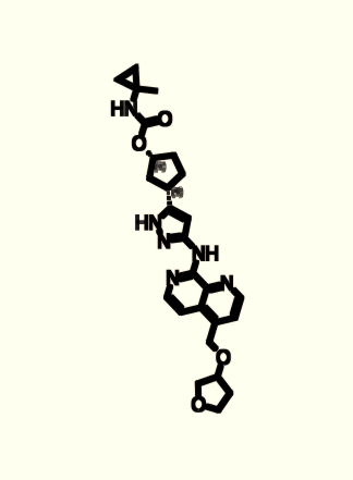 CC1(NC(=O)O[C@@H]2CC[C@H](c3cc(Nc4nccc5c(COC6CCOC6)ccnc45)n[nH]3)C2)CC1